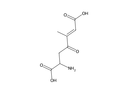 C/C(=C\C(=O)O)C(=O)CC(N)C(=O)O